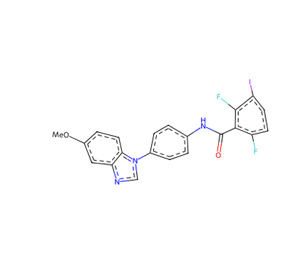 COc1ccc2c(c1)ncn2-c1ccc(NC(=O)c2c(F)ccc(I)c2F)cc1